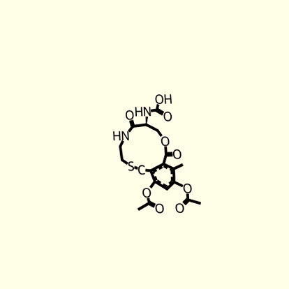 CC(=O)Oc1cc(OC(C)=O)c2c(c1C)C(=O)OC[C@H](NC(=O)O)C(=O)NCCSC2